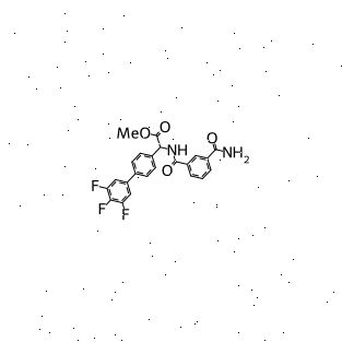 COC(=O)C(NC(=O)c1cccc(C(N)=O)c1)c1ccc(-c2cc(F)c(F)c(F)c2)cc1